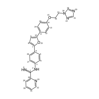 N=C(Nc1ccc(-c2ccc(-c3ccc(OCCn4cncn4)cc3)o2)cc1)c1ccccn1